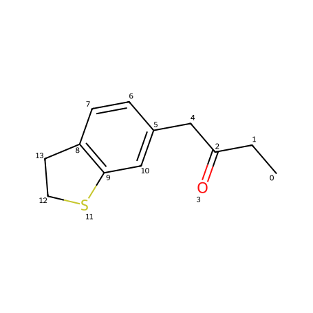 CCC(=O)Cc1ccc2c(c1)SCC2